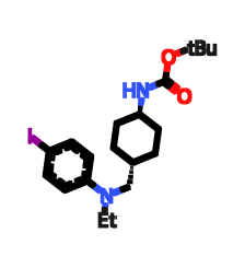 CCN(C[C@H]1CC[C@H](NC(=O)OC(C)(C)C)CC1)c1ccc(I)cc1